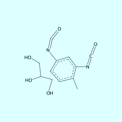 Cc1ccc(N=C=O)cc1N=C=O.OCC(O)CO